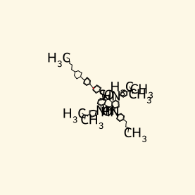 CCCCCC1CCC(c2ccc(-c3ccc(Sc4ccc(Nc5ccc(C(C)C)cc5)c5c4C(=O)c4c(Nc6ccc(C(C)(C)C)cc6)ccc(Nc6ccc(CCCC)cc6)c4C5=O)cc3)cc2)CC1